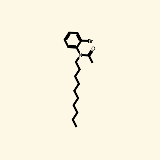 CCCCCCCCCCN(C(C)=O)c1ccccc1Br